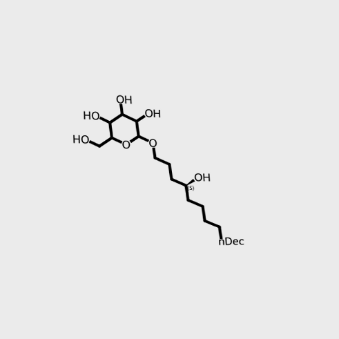 CCCCCCCCCCCCCC[C@H](O)CCCOC1OC(CO)C(O)C(O)C1O